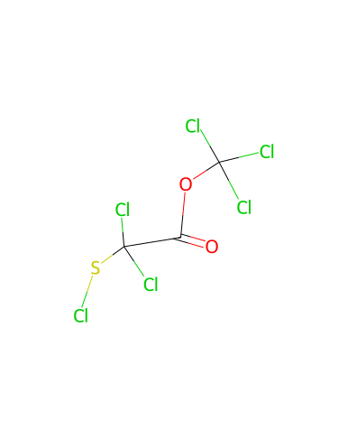 O=C(OC(Cl)(Cl)Cl)C(Cl)(Cl)SCl